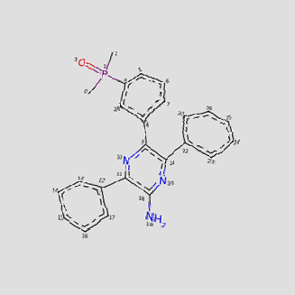 CP(C)(=O)c1cccc(-c2nc(-c3ccccc3)c(N)nc2-c2ccccc2)c1